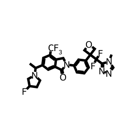 CC(c1cc2c(c(C(F)(F)F)c1)CN(c1cccc(C3(C(F)(F)c4nncn4C)COC3)c1)C2=O)N1CCC(F)C1